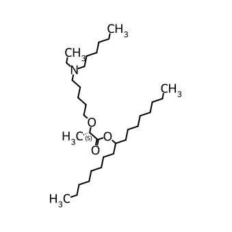 CCCCCCCCC(CCCCCCCC)OC(=O)[C@H](C)OCCCCCN(CC)CCCCCC